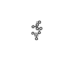 c1ccc(-c2nc(-c3ccccc3)nc(-c3cccc(-n4c5ccccc5c5c6c7cc8c(cc7n(-c7ccccc7)c6ccc54)oc4ccccc48)c3)n2)cc1